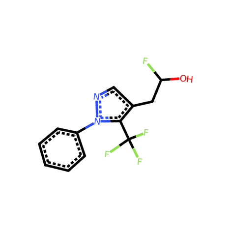 OC(F)[CH]c1cnn(-c2ccccc2)c1C(F)(F)F